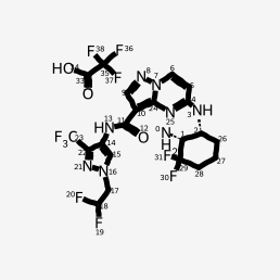 N[C@@H]1[C@H](Nc2ccn3ncc(C(=O)Nc4cn(CC(F)F)nc4C(F)(F)F)c3n2)CCCC1(F)F.O=C(O)C(F)(F)F